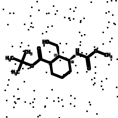 COC(=O)N[C@@H]1CCCN(C(=O)OC(C)(C)C)[C@@H]1CO